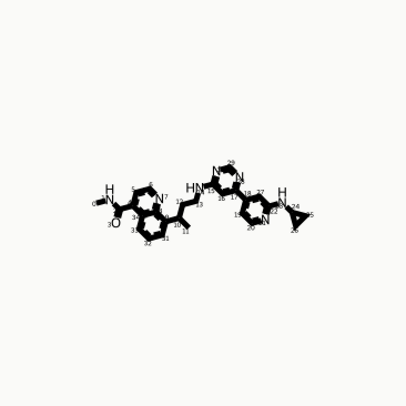 CNC(=O)c1ccnc2c(C(C)CCNc3cc(-c4ccnc(NC5CC5)c4)ncn3)cccc12